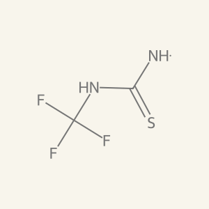 [NH]C(=S)NC(F)(F)F